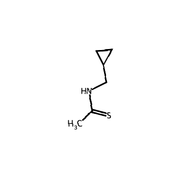 CC(=S)NCC1CC1